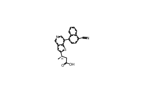 C[C@H](CC(=O)O)c1cc2cncc(-c3ccc(C#N)c4ccccc34)c2s1